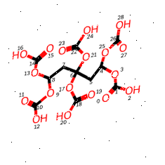 O=C(O)OC(CC(CC(OC(=O)O)OC(=O)O)(OC(=O)O)OC(=O)O)OC(=O)O